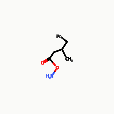 CC(C)CC(C)CC(=O)ON